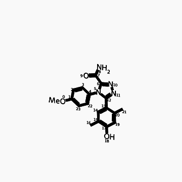 COc1ccc(-n2c(C(N)=O)nnc2-c2cc(C)c(O)cc2C)cc1